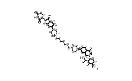 Cc1c(C(C)Nc2nnc(C)c3ccc(N4CCN(CCCCCCCN5CCC(c6cc7c(cc6F)C(=O)N(C6CCC(=O)NC6=O)C7)CC5)CC4)cc23)cccc1C(F)(F)F